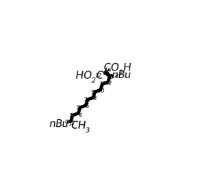 CCCCC(C)CCCCCCCCCCC(CCCC)C(C(=O)O)C(=O)O